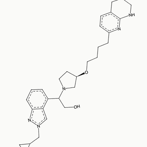 OCC(c1cccc2nn(CC3CC3)cc12)N1CC[C@@H](OCCCCc2ccc3c(n2)NCCC3)C1